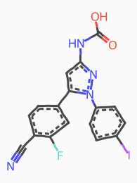 N#Cc1ccc(-c2cc(NC(=O)O)nn2-c2ccc(I)cc2)cc1F